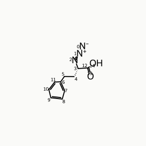 [N-]=[N+]=N[C@@H](CCc1ccccc1)C(=O)O